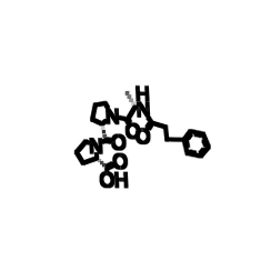 C[C@H](NC(=O)CCc1ccccc1)C(=O)N1CCC[C@H]1C(=O)N1CCC[C@H]1C(=O)O